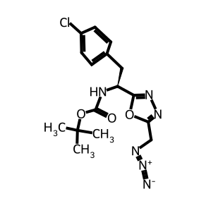 CC(C)(C)OC(=O)N[C@@H](Cc1ccc(Cl)cc1)c1nnc(CN=[N+]=[N-])o1